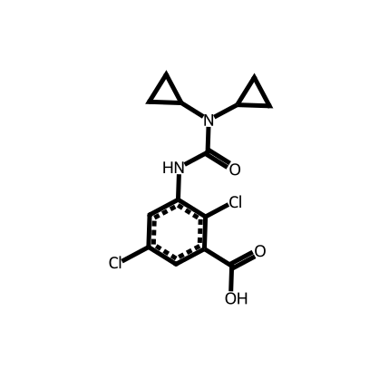 O=C(O)c1cc(Cl)cc(NC(=O)N(C2CC2)C2CC2)c1Cl